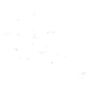 CCCCC(=O)Nc1c(NCc2ccc(C(=O)OC)cc2)ncnc1N(CCC)c1ccccc1